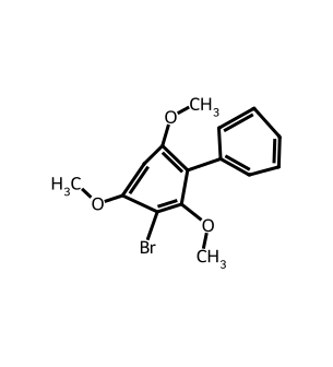 COc1cc(OC)c(-c2ccccc2)c(OC)c1Br